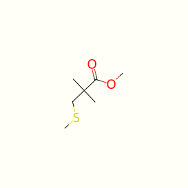 COC(=O)C(C)(C)CSC